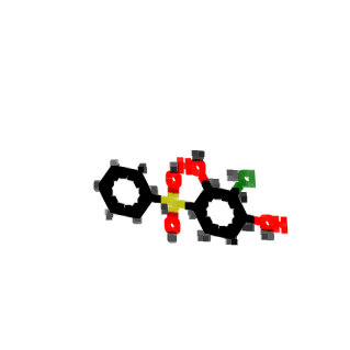 O=S(=O)(c1ccccc1)c1ccc(O)c(Cl)c1O